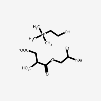 CCCCC(CC)COC(=O)C(CC(=O)[O-])S(=O)(=O)O.C[N+](C)(C)CCO